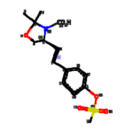 CC1(C)OC[C@H](/C=C/c2ccc(OS(C)(=O)=O)cc2)N1C(=O)O